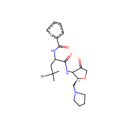 CC(C)C(C)(C)CC(NC(=O)c1ccccc1)C(=O)NC1C(=O)CO[C@H]1CN1CCCC1